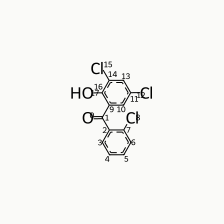 O=C(c1ccccc1Cl)c1cc(Cl)cc(Cl)c1O